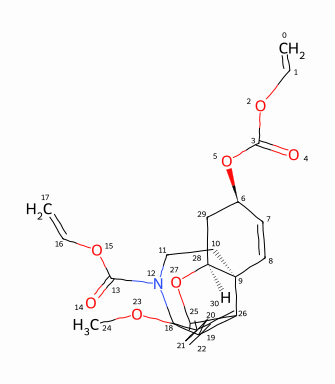 C=COC(=O)O[C@H]1C=C[C@@]23CCN(C(=O)OC=C)Cc4ccc(OC)c(c42)O[C@H]3C1